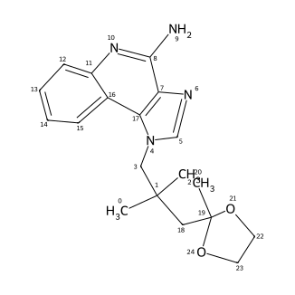 CC(C)(Cn1cnc2c(N)nc3ccccc3c21)CC1(C)OCCO1